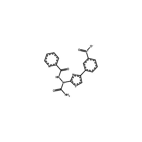 NC(=O)N(NC(=O)c1ccccn1)c1nc(-c2cccc([N+](=O)[O-])c2)cs1